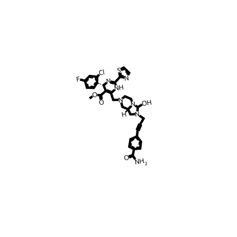 COC(=O)C1=C(CN2CCN3C(O)N(CC#Cc4ccc(C(N)=O)cc4)C[C@@H]3C2)NC(c2nccs2)=N[C@H]1c1ccc(F)cc1Cl